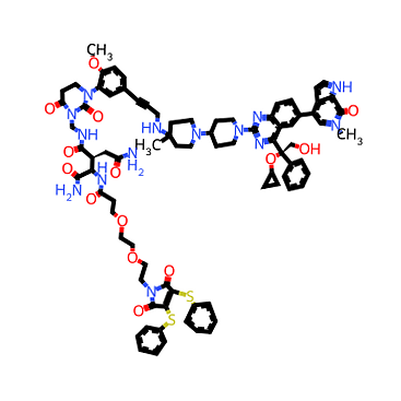 COc1ccc(C#CCNC2(C)CCN(C3CCN(c4nc([C@@](CO)(OC5CC5)c5ccccc5)c5cc(-c6cn(C)c(=O)c7[nH]ccc67)ccc5n4)CC3)CC2)cc1N1CCC(=O)N(CNC(=O)[C@@H](CC(N)=O)C(NC(=O)CCOCCOCCN2C(=O)C(Sc3ccccc3)=C(Sc3ccccc3)C2=O)C(N)=O)C1=O